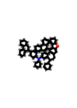 c1ccc(C2CCc3cc4oc5ccccc5c4c(-c4cc5ccccc5c5ccccc45)c3-c3ccc(N(c4ccccc4)c4ccc(-c5cc6ccccc6c6ccccc56)cc4)cc32)cc1